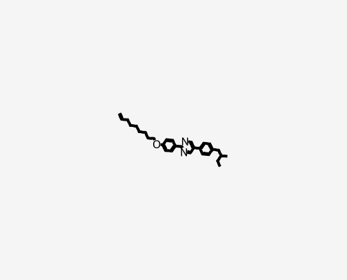 C=CCCCCCCCOc1ccc(-c2ncc(-c3ccc(CC(C)CC)cc3)cn2)cc1